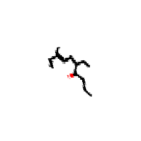 C=CC(C)=CCC(CC)C(=O)CCC